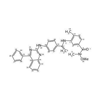 C=C(Nc1cc(C(=O)N(C)OC)ccc1C)c1ccc(Nc2nc(-c3ccccc3)c3ccccc3n2)cc1